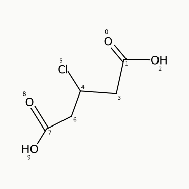 O=C(O)CC(Cl)CC(=O)O